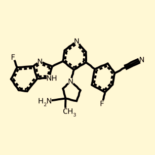 CC1(N)CCN(c2c(-c3cc(F)cc(C#N)c3)cncc2-c2nc3c(F)cccc3[nH]2)C1